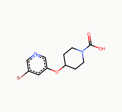 O=C(O)N1CCC(Oc2cncc(Br)c2)CC1